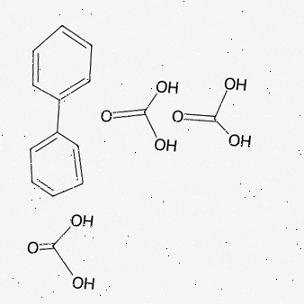 O=C(O)O.O=C(O)O.O=C(O)O.c1ccc(-c2ccccc2)cc1